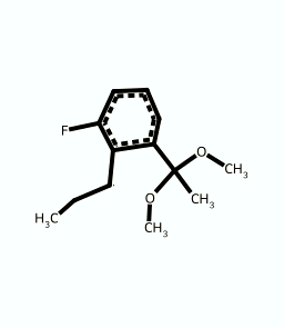 CC[CH]c1c(F)cccc1C(C)(OC)OC